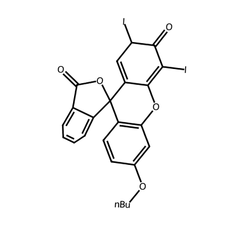 CCCCOc1ccc2c(c1)OC1=C(I)C(=O)C(I)C=C1C21OC(=O)c2ccccc21